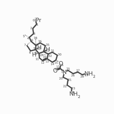 CC(C)CCC[C@@H](C)[C@H]1CC[C@H]2[C@@H]3CC=C4C[C@@H](OC(=O)N(CCCCN)CCCCN)CC[C@]4(C)[C@H]3CC[C@]12C